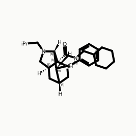 CC(C)CN1C[C@@H]2C[C@H]3CN[C@]2(C(=O)NCC2CCCCC2)[C@@H]1[C@@H]3Cc1ccccc1